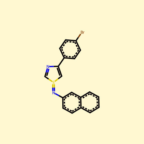 Brc1ccc(C2=CS(=Nc3ccc4ccccc4c3)C=N2)cc1